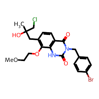 COCCOc1c(CC(C)(O)CCl)ccc2c(=O)n(Cc3ccc(Br)cc3)c(=O)[nH]c12